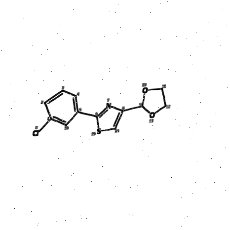 Clc1cccc(-c2nc(C3OCCO3)cs2)c1